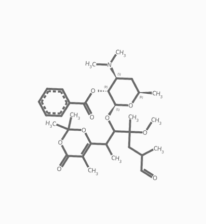 COC(C)(CC(C)C=O)C(O[C@@H]1O[C@H](C)C[C@H](N(C)C)[C@H]1OC(=O)c1ccccc1)C(C)C1=C(C)C(=O)OC(C)(C)O1